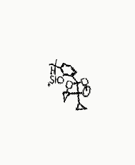 COC1(c2cccc(C(C)(C)C)c2O[SiH](C)C)OOC1(C1CC1)C1CC1